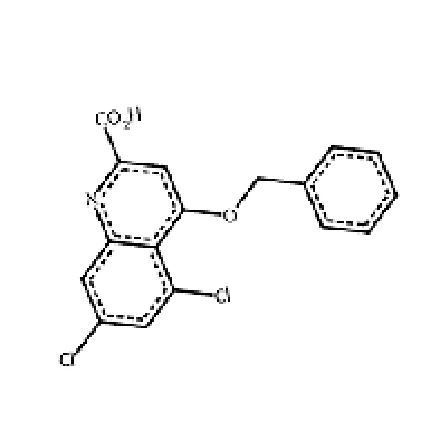 O=C(O)c1cc(OCc2ccccc2)c2c(Cl)cc(Cl)cc2n1